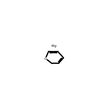 C1=CCOC=C1.[Mg]